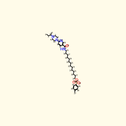 CCC(C)N1CCN(c2ccc(C(=O)NCCCCCCCCCCCCCCOS(=O)(=O)c3ccc(C)cc3)cn2)CC1